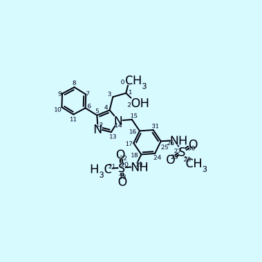 CC(O)Cc1c(-c2ccccc2)ncn1Cc1cc(NS(C)(=O)=O)cc(NS(C)(=O)=O)c1